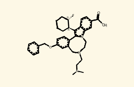 CN(C)CCN1CCn2c(c([C@H]3CCCC[C@@H]3F)c3ccc(C(=O)O)cc32)-c2ccc(OCc3ccccc3)cc2C1